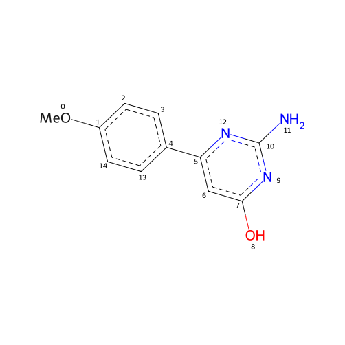 COc1ccc(-c2cc(O)nc(N)n2)cc1